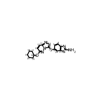 Nc1nc2ccc(Sc3nnc4ccc(OC5CCCCC5)nn34)cc2s1